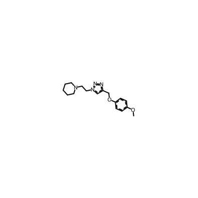 COc1ccc(OCc2cn(CCN3CCCCC3)nn2)cc1